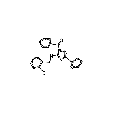 O=C(c1ccccc1)n1nc(-c2cccs2)nc1NCc1ccccc1Cl